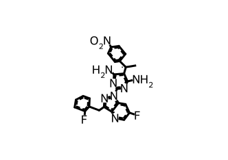 C[C](c1ccc([N+](=O)[O-])cc1)c1c(N)nc(-n2nc(Cc3ccccc3F)c3ncc(F)cc32)nc1N